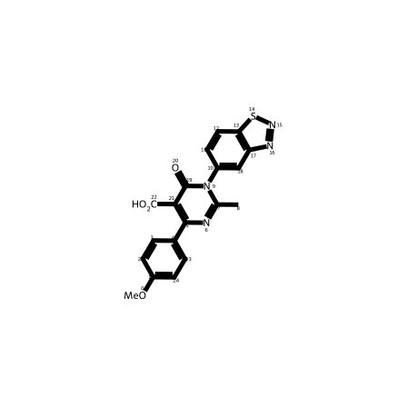 COc1ccc(-c2nc(C)n(-c3ccc4snnc4c3)c(=O)c2C(=O)O)cc1